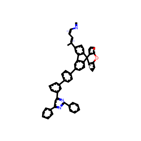 C=N/C=C\C=C(/C)c1ccc2c(c1)-c1cc(-c3ccc(-c4cccc(-c5cc(-c6ccccc6)nc(-c6ccccc6)n5)c4)cc3)ccc1C21c2ccccc2Oc2ccccc21